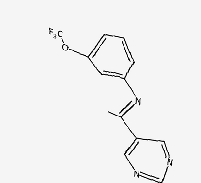 C/C(=N\c1cccc(OC(F)(F)F)c1)c1cncnc1